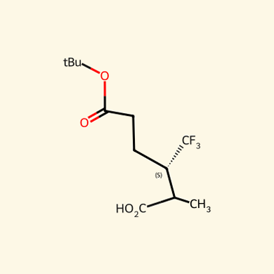 CC(C(=O)O)[C@H](CCC(=O)OC(C)(C)C)C(F)(F)F